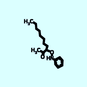 CCCCCCCCC(ONc1ccccc1)C(C)=O